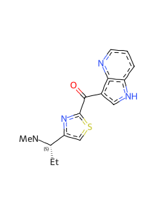 CC[C@H](NC)c1csc(C(=O)c2c[nH]c3cccnc23)n1